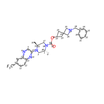 C[C@@H]1CN(c2cnc3cc(C(F)(F)F)ccc3n2)[C@@H](C)CN1C(=O)OC1CC2(C1)CN(Cc1ccccc1)C2